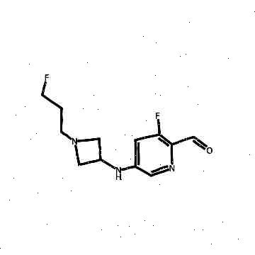 O=Cc1ncc(NC2CN(CCCF)C2)cc1F